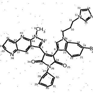 Cn1nc(C2=C(c3cn(CCCn4ccnc4)c4cc(Br)ccc34)C(=O)N(c3ccccc3)C2=O)c2cc3ncccc3nc21